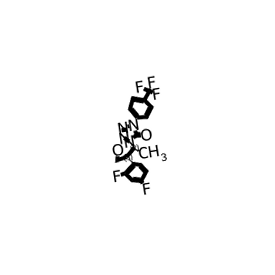 C[C@@H](n1nnn(-c2ccc(C(F)(F)F)cc2)c1=O)[C@@]1(c2ccc(F)cc2F)CO1